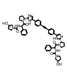 O=C(N[C@@H](C(=O)N1CCC[C@H]1c1ncc(-c2ccc(C#Cc3ccc(-c4cnc([C@@H]5CCCN5C(=O)[C@H](NC(=O)N5CC[C@@H](O)C5)c5ccccc5)[nH]4)cc3)cc2)[nH]1)c1ccccc1)N1CC[C@@H](O)C1